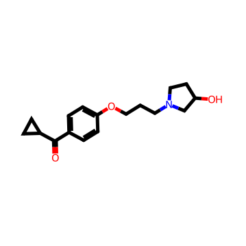 O=C(c1ccc(OCCCN2CCC(O)C2)cc1)C1CC1